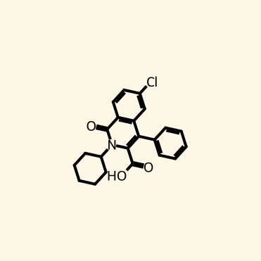 O=C(O)c1c(-c2ccccc2)c2cc(Cl)ccc2c(=O)n1C1CCCCC1